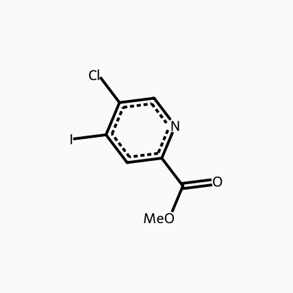 COC(=O)c1cc(I)c(Cl)cn1